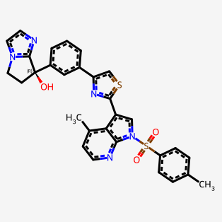 Cc1ccc(S(=O)(=O)n2cc(-c3nc(-c4cccc([C@]5(O)CCn6ccnc65)c4)cs3)c3c(C)ccnc32)cc1